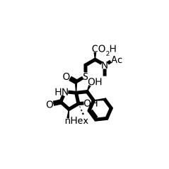 CCCCCC[C@H]1C(=O)N[C@](C(=O)SC[C@@H](C(=O)O)N(C)C(C)=O)([C@@H](O)[C@@H]2C=CCCC2)[C@@]1(C)O